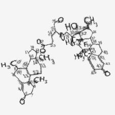 C[C@@H]1CC2=CC(=O)CC[C@]2(C)C2CC[C@@]3(C)C(CC[C@@H]3OC(=O)CCC(C=O)OCC(=O)[C@@]3(O)[C@@H](C)CC4C5CCC6=CC(=O)C=C[C@]6(C)[C@@]5(F)[C@@H](O)C[C@@]43C)C21